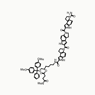 CNC(=O)CCC(=O)OC(CCCCNC(=O)c1cc2c3c(ccc2[nH]1)N(C(=O)c1cc2c4c(ccc2[nH]1)N(C(=O)c1cc2c5c(ccc2[nH]1)N(C(N)=O)CC5)CC4)CC3)COC(c1ccccc1)(c1ccc(OC)cc1)c1ccc(OC)cc1